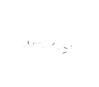 Cc1cc(C(F)(F)F)nn1CC(=O)N1CCC(c2nc(N)cs2)CC1